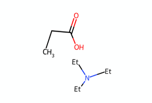 CCC(=O)O.CCN(CC)CC